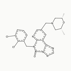 C[C@@H]1CN(Cc2cnc3c(c2)c2ncnn2c(=O)n3Cc2cccc(Cl)c2Cl)C[C@H](C)O1